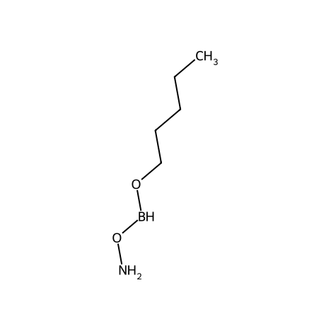 CCCCCOBON